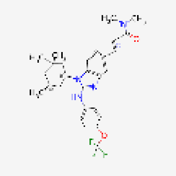 C[C@@H]1C[C@H](n2c(Nc3ccc(OC(F)(F)F)cc3)nc3cc(/C=C/C(=O)N(C)C)ccc32)CC(C)(C)C1